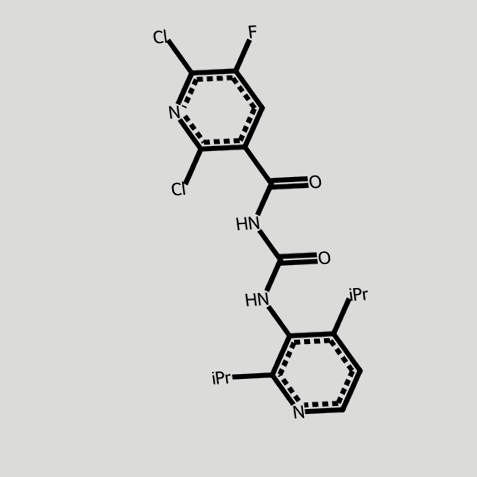 CC(C)c1ccnc(C(C)C)c1NC(=O)NC(=O)c1cc(F)c(Cl)nc1Cl